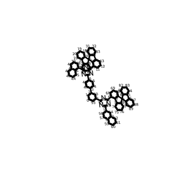 c1cc(-c2ccc(-c3nc(-c4cccc5c4C4(c6ccccc6-c6ccccc64)c4ccccc4-5)nc(-c4cccc5ccccc45)n3)cc2)cc(-c2nc(-c3ccc4ccccc4c3)nc(-c3cccc4c3-c3ccccc3C43c4ccccc4-c4ccccc43)n2)c1